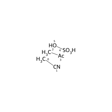 CC#N.CC(C)=O.O=S(=O)(O)O